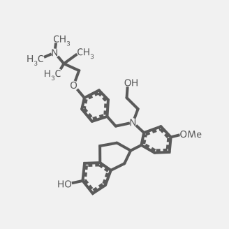 COc1ccc(C2CCc3cc(O)ccc3C2)c(N(CCO)Cc2ccc(OCC(C)(C)N(C)C)cc2)c1